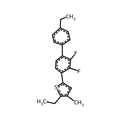 CCc1ccc(-c2ccc(-c3cc(C)c(CC)s3)c(F)c2F)cc1